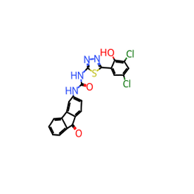 O=C(Nc1ccc2c(c1)-c1ccccc1C2=O)Nc1nnc(-c2cc(Cl)cc(Cl)c2O)s1